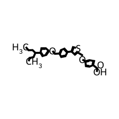 CCCC(CCC)c1ccc(OCc2ccc(-c3csc(COc4ccc(C(=O)O)cc4)c3)cc2)cc1